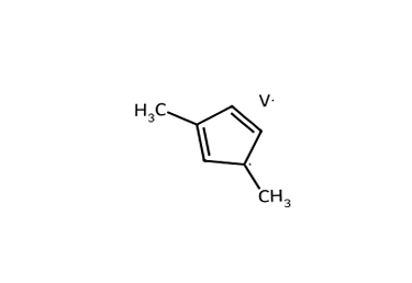 C[C]1C=CC(C)=C1.[V]